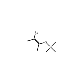 CC(=O)C(C)=C(C)O[Si](C)(C)C